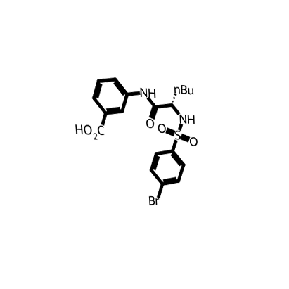 CCCC[C@H](NS(=O)(=O)c1ccc(Br)cc1)C(=O)Nc1cccc(C(=O)O)c1